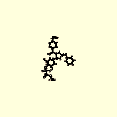 CSc1ccc(C(=O)C2CN(Cc3ccccc3)CC2c2cc(C)c(OC(C)(C)C(=O)OC(C)(C)C)c(C)c2)cc1